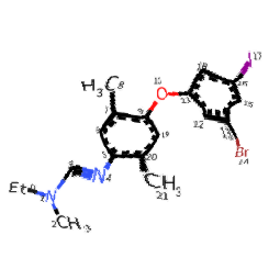 CCN(C)C=Nc1cc(C)c(Oc2cc(Br)cc(I)c2)cc1C